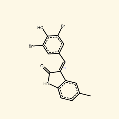 Cc1ccc2c(c1)/C(=C/c1cc(Br)c(O)c(Br)c1)C(=O)N2